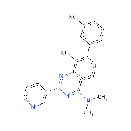 Cc1c(-c2cccc(C#N)c2)ccc2c(N(C)C)nc(-c3cccnc3)nc12